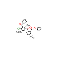 CC(C)(C)c1c(C(=O)c2ccc([N+](=O)[O-])cc2C(=O)COc2ccccc2)cc([C]=O)c(Cl)c1C(=O)c1ccccc1